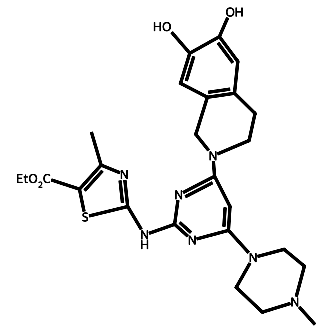 CCOC(=O)c1sc(Nc2nc(N3CCN(C)CC3)cc(N3CCc4cc(O)c(O)cc4C3)n2)nc1C